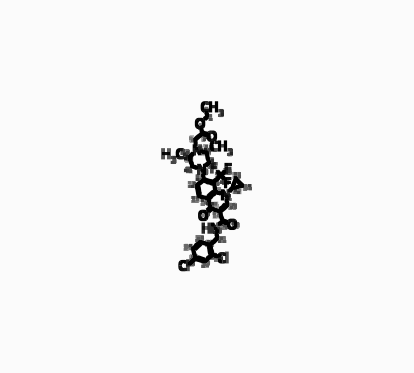 CCOC(=O)CN1[C@H](C)CN(c2ccc3c(=O)c(C(=O)NCc4ccc(Cl)cc4Cl)cn(C4CC4)c3c2C(F)(F)F)C[C@@H]1C